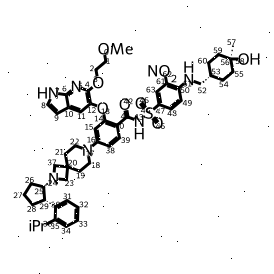 COCCOc1nc2[nH]ccc2cc1Oc1cc(N2CCC3(CC2)CN([C@H]2CCC[C@H]2c2ccccc2C(C)C)C3)ccc1C(=O)NS(=O)(=O)c1ccc(NC[C@H]2CC[C@](C)(O)CC2)c([N+](=O)[O-])c1